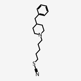 N#CSCCCCCN1CCC(Cc2ccccc2)CC1